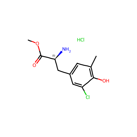 COC(=O)[C@@H](N)Cc1cc(C)c(O)c(Cl)c1.Cl